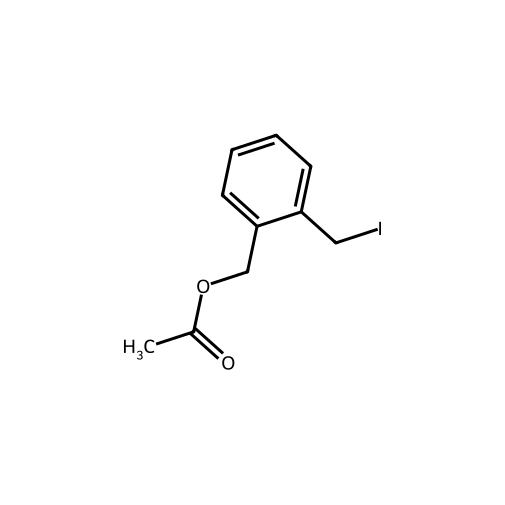 CC(=O)OCc1ccccc1CI